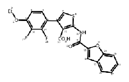 CCOc1ccc(-c2csc(NC(=O)c3cc4ccccc4o3)c2C(=O)O)c(F)c1F